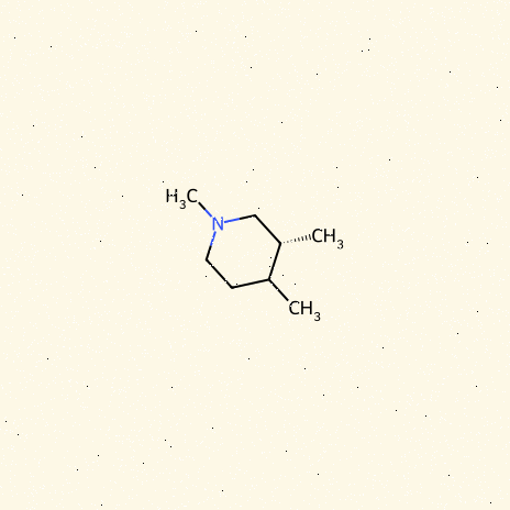 CC1CCN(C)C[C@@H]1C